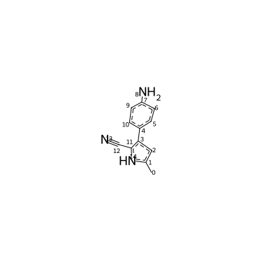 Cc1cc(-c2ccc(N)cc2)c(C#N)[nH]1